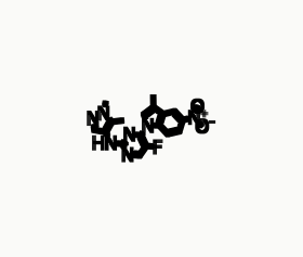 Cc1cn(-c2nc(Nc3cnn(C)c3C)ncc2F)c2ccc([N+](=O)[O-])cc12